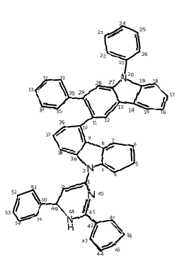 C1=C(n2c3ccccc3c3c(-c4cc5c6ccccc6n(-c6ccccc6)c5cc4-c4ccccc4)cccc32)N=C(c2ccccc2)NC1c1ccccc1